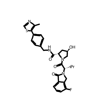 Cc1ncsc1-c1ccc(CNC(=O)[C@@H]2C[C@@H](O)CN2C(=O)[C@H](C(C)C)N2Cc3c(F)cccc3C2=O)cc1